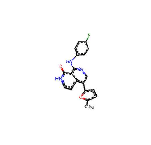 N#Cc1ccc(-c2cnc(Nc3ccc(F)cc3)c3c(=O)[nH]ccc23)o1